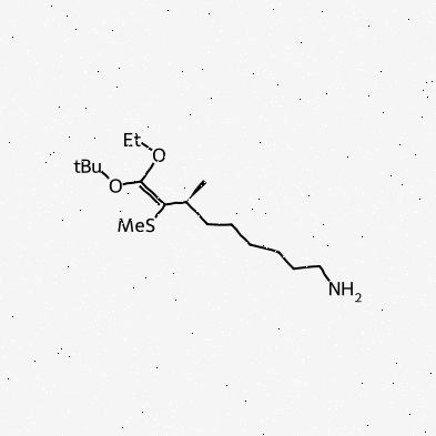 [CH2]SC(=C(OCC)OC(C)(C)C)[C@@H](C)CCCCCCN